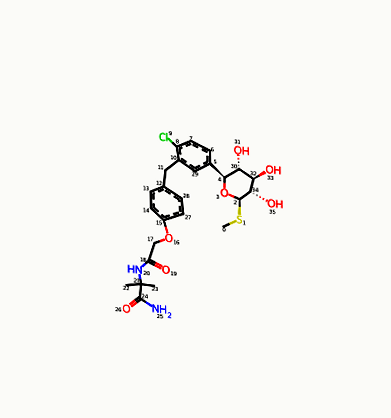 CS[C@H]1O[C@@H](c2ccc(Cl)c(Cc3ccc(OCC(=O)NC(C)(C)C(N)=O)cc3)c2)[C@H](O)[C@@H](O)[C@@H]1O